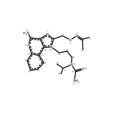 CC(C)=NOCc1nc2c(N)nc3ccccc3c2n1CCCN(C(N)=O)C(C)C